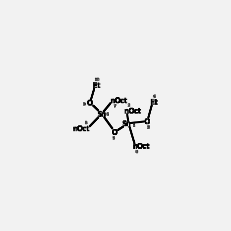 CCCCCCC[CH2][Sn]([CH2]CCCCCCC)([O]CC)[O][Sn]([CH2]CCCCCCC)([CH2]CCCCCCC)[O]CC